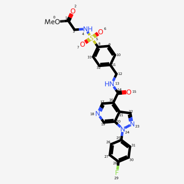 COC(=O)CNS(=O)(=O)c1ccc(CNC(=O)c2cncc3c2cnn3-c2ccc(F)cc2)cc1